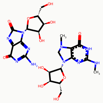 CNc1nc2c(c(=O)[nH]1)N(C)CN2[C@@H]1O[C@H](CO)[C@@H](O)[C@H]1O.NC1=NC(=O)C2=NC(=O)N([C@@H]3O[C@H](CO)[C@@H](O)[C@H]3O)C2=N1